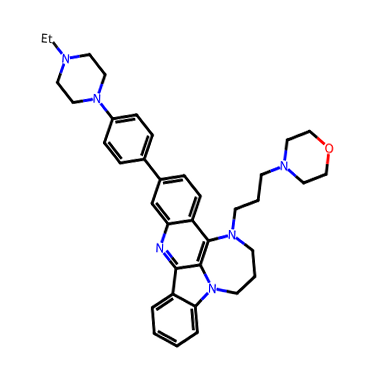 CCN1CCN(c2ccc(-c3ccc4c5c6c(nc4c3)c3ccccc3n6CCCN5CCCN3CCOCC3)cc2)CC1